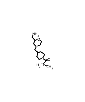 CN(C)C(=O)N1CCC(CN2CCOC(CN)C2)CC1